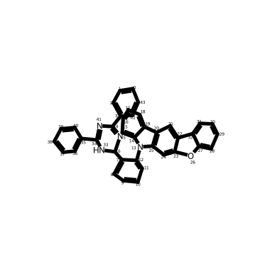 c1ccc(C2=NC(c3ccccc3-n3c4ccccc4c4cc5c(cc43)oc3ccccc35)NC(c3ccccc3)=N2)cc1